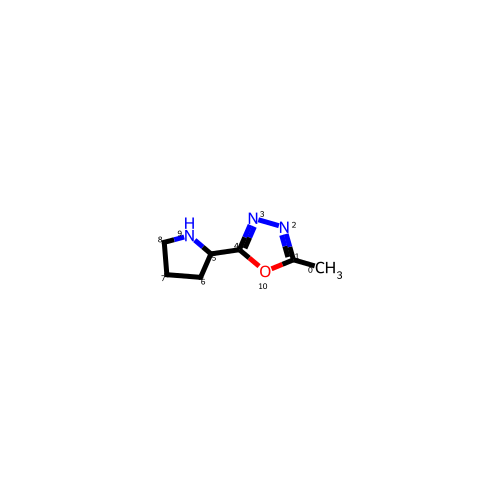 Cc1nnc(C2CCCN2)o1